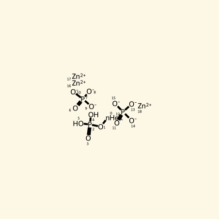 CCCCCCOP(=O)(O)O.O=P([O-])([O-])[O-].O=P([O-])([O-])[O-].[Zn+2].[Zn+2].[Zn+2]